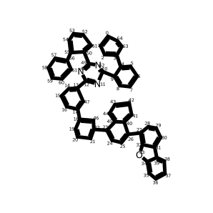 c1ccc(-c2ccccc2-c2nc(-c3cccc(-c4cccc(-c5ccc(-c6cccc7c6oc6ccccc67)c6ccccc56)c4)c3)nc(-c3ccccc3-c3ccccc3)n2)cc1